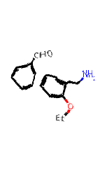 CCOc1ccccc1CN.O=Cc1ccccc1